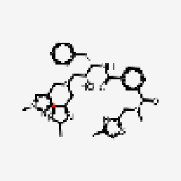 Cc1csc(CN(C)C(=O)c2cccc(C(=O)N[C@@H](Cc3ccccc3)[C@H](O)CN(CC3=NC(C)N=C3)Cc3cnn(C)c3)c2)n1